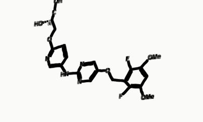 COc1cc(OC)c(F)c(COc2cnc(Nc3ccc(OC[C@H](O)CO)nc3)nc2)c1F